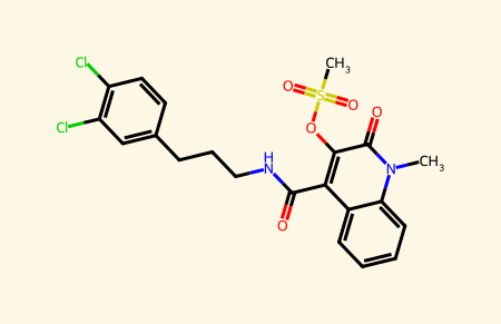 Cn1c(=O)c(OS(C)(=O)=O)c(C(=O)NCCCc2ccc(Cl)c(Cl)c2)c2ccccc21